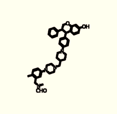 Cc1ccc(N2CCN(CC3CCN(c4ccc(C5c6ccc(O)cc6OCC5c5ccccc5)cc4)CC3)CC2)cc1CN(C)C=O